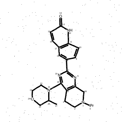 CC(C)N1CCc2c(nc(-c3ccc4[nH]c(=O)ccc4c3)nc2N2CCOCC2C)C1